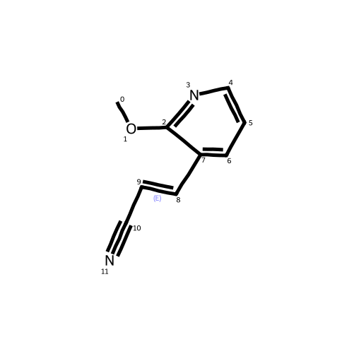 COc1ncccc1/C=C/C#N